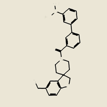 NCc1ccc2c(c1)C1(CCN(C(=O)c3cccc(-c4cccc(B(O)O)c4)c3)CC1)CO2